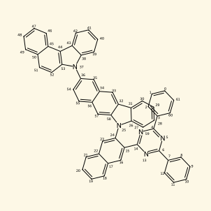 c1ccc(-c2nc(-c3ccccc3)nc(-c3cc4ccccc4cc3-n3c4ccccc4c4cc5cc(-n6c7ccccc7c7c8ccccc8ccc76)ccc5cc43)n2)cc1